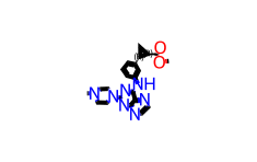 COC(=O)[C@@H]1C[C@H]1c1cccc(Nc2nc(N3CCN(C)CC3)nc3nccnc23)c1